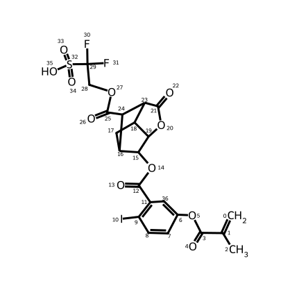 C=C(C)C(=O)Oc1ccc(I)c(C(=O)OC2C3CC4C2OC(=O)C4C3C(=O)OCC(F)(F)S(=O)(=O)O)c1